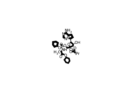 CC(C)C(=O)O[C@H]1[C@@H](O)[C@H](c2ccc3c(N)ncnn23)O[C@]1(C)CO[P@@](=O)(N[C@@H](C)C(=O)OC1CCCCC1)Oc1ccccc1